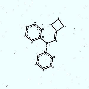 C(=C1CCC1)P(c1ccccc1)c1ccccc1